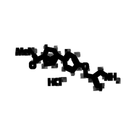 CNC(=O)C12CCC(c3ccc(OCC(=CF)CN)cc3)(CC1)C2.Cl